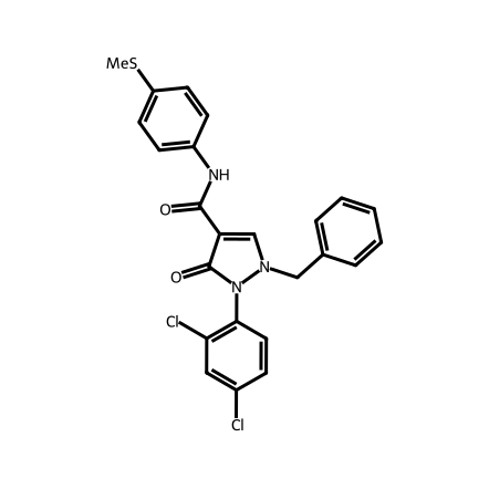 CSc1ccc(NC(=O)c2cn(Cc3ccccc3)n(-c3ccc(Cl)cc3Cl)c2=O)cc1